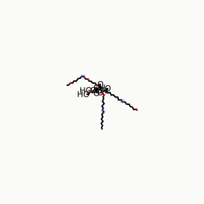 CCCCCCCC/C=C\CCCCCCCC(=O)C(CN(C(=O)CCCCCCC/C=C/CCCCCCCC)C(=O)CCCCCCC/C=C/CCCCCCCC)OP(=O)(O)OC[C@H](O)CO